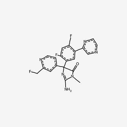 CN1C(=O)C(c2ccnc(CF)c2)(c2cc(-c3cnccn3)c(F)cc2F)N=C1N